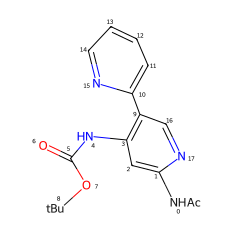 CC(=O)Nc1cc(NC(=O)OC(C)(C)C)c(-c2ccccn2)cn1